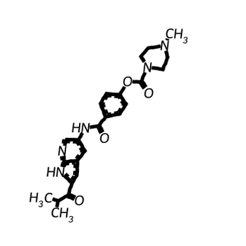 CC(C)C(=O)c1cc2cc(NC(=O)c3ccc(OC(=O)N4CCN(C)CC4)cc3)cnc2[nH]1